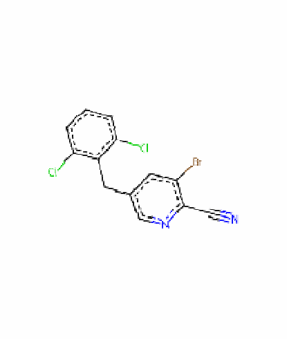 N#Cc1ncc(Cc2c(Cl)cccc2Cl)cc1Br